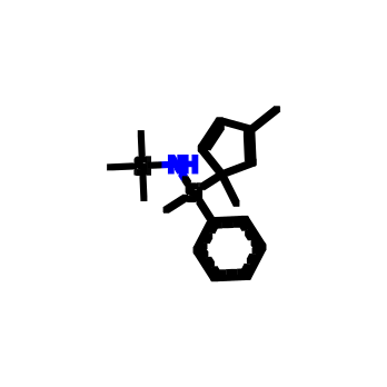 CC1=CC(C)([Si](C)(N[Si](C)(C)C)c2ccccc2)C=C1